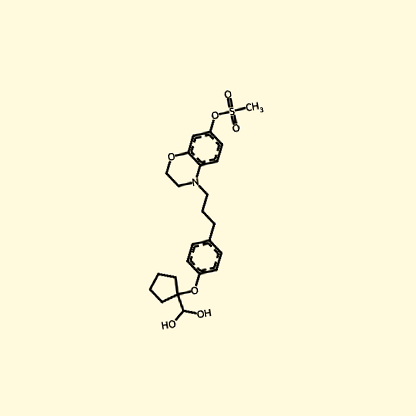 CS(=O)(=O)Oc1ccc2c(c1)OCCN2CCCc1ccc(OC2(C(O)O)CCCC2)cc1